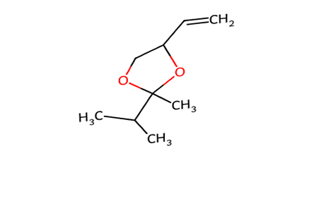 C=CC1COC(C)(C(C)C)O1